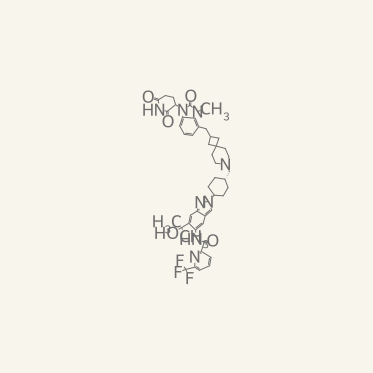 Cn1c(=O)n(C2CCC(=O)NC2=O)c2cccc(CC3CC4(CCN(C[C@H]5CC[C@H](n6cc7cc(NC(=O)c8cccc(C(F)(F)F)n8)c(C(C)(C)O)cc7n6)CC5)CC4)C3)c21